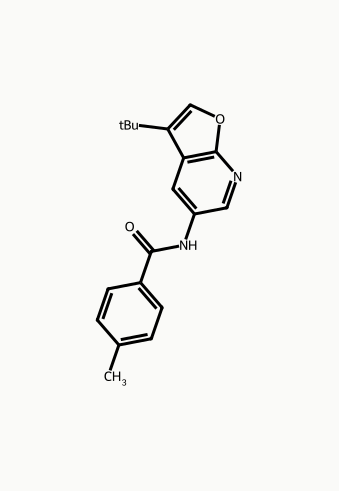 Cc1ccc(C(=O)Nc2cnc3occ(C(C)(C)C)c3c2)cc1